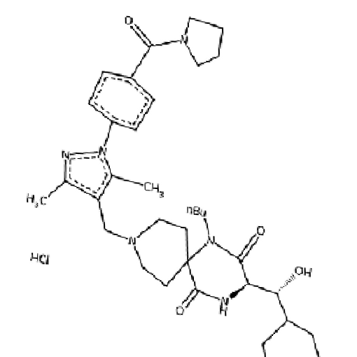 CCCCN1C(=O)[C@@H]([C@H](O)C2CCCCC2)NC(=O)C12CCN(Cc1c(C)nn(-c3ccc(C(=O)N4CCCC4)cc3)c1C)CC2.Cl